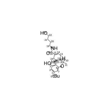 CC(C)(C)c1cc(O)c2c(c1)OC(C)(C)[C@@H]1CC=C(C(=O)NCCCCO)C[C@@H]21